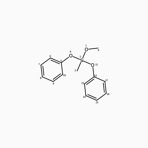 CO[Si](C)(Oc1ccccc1)Oc1ccccc1